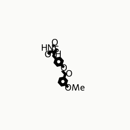 [2H]C1(Cc2ccc(OCC(=O)c3cccc(OC)c3)cc2)SC(=O)NC1=O